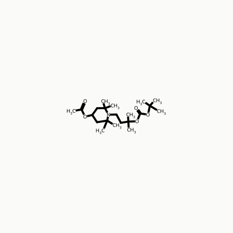 CC(=O)OC1CC(C)(C)N(CCC(C)(C)OC(=O)OC(C)(C)C)C(C)(C)C1